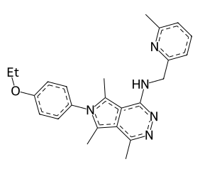 CCOc1ccc(-n2c(C)c3c(C)nnc(NCc4cccc(C)n4)c3c2C)cc1